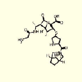 CNCC(=O)N[C@H](C)[C@H]1C(=O)N2C(C(=O)O)=C(S[C@@H]3CNC(C(=O)N4C[C@H]5CC[C@@H](C4)[C@@H]5N)C3)[C@H](C)[C@@H]12